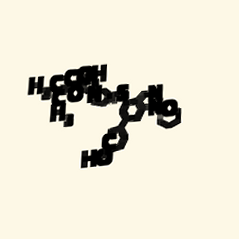 CC(C)(C)OC(O)N1CC[C@H](Sc2cc(-c3ccc(O)cc3)cc3c2cnn3C2CCCCO2)C1